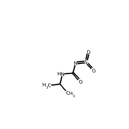 CC(C)NC(=O)N=S(=O)=O